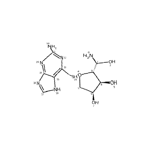 NC(O)[C@H]1OC[C@H](O)[C@@H]1O.Nc1nc(S)c2[nH]cnc2n1